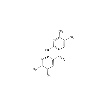 Cc1cc2c(=O)c3c([nH]c2nc1N)=NC(C)C(C)C=3